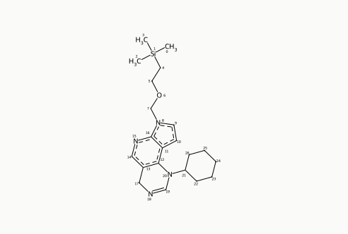 C[Si](C)(C)CCOCn1ccc2c3c(cnc21)CN=CN3C1CCCCC1